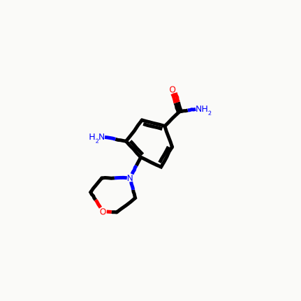 NC(=O)c1ccc(N2CCOCC2)c(N)c1